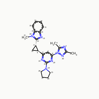 Cc1nc(C)n(-c2cc([C@H]3C[C@@H]3c3nc4ccccc4n3C)nc(N3CCCC3)n2)n1